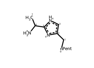 CCCCCCc1c[nH]c(C(C)N)n1